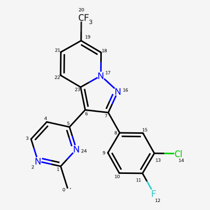 [CH2]c1nccc(-c2c(-c3ccc(F)c(Cl)c3)nn3cc(C(F)(F)F)ccc23)n1